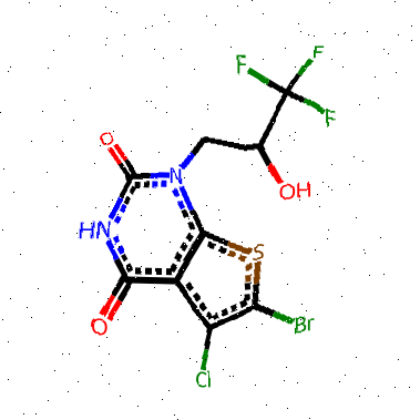 O=c1[nH]c(=O)n(CC(O)C(F)(F)F)c2sc(Br)c(Cl)c12